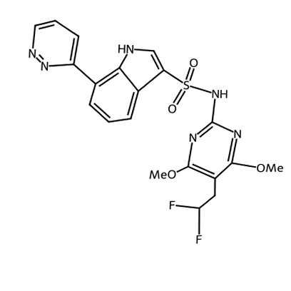 COc1nc(NS(=O)(=O)c2c[nH]c3c(-c4cccnn4)cccc23)nc(OC)c1CC(F)F